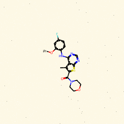 Cc1c(C(=O)N2CCOCC2)sc2ncnc(Nc3ccc(F)cc3OC(C)C)c12